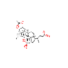 CC[C@H]1[C@@H](OC(C)=O)[C@@H]2[C@H](CC[C@]3(C)C([C@H](C)CCC(=O)O)CC[C@@H]23)[C@@]2(C)CC[C@@H](OC(C)=O)C[C@@H]12